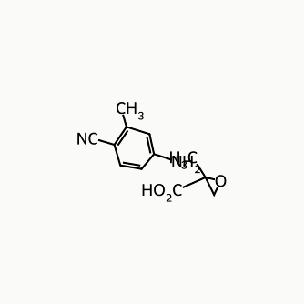 CC1(C(=O)O)CO1.Cc1cc(N)ccc1C#N